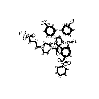 CCOc1ccc(S(=O)(=O)N2CCCCC2)cc1C1(C(=O)N2CCN(CCCS(C)(=O)=O)CC2)N[C@H](c2ccc(Cl)cc2)[C@H](c2ccc(Cl)cc2)N1